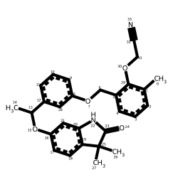 Cc1cccc(COc2cccc(C(C)Oc3ccc4c(c3)NC(=O)C4(C)C)c2)c1OCC#N